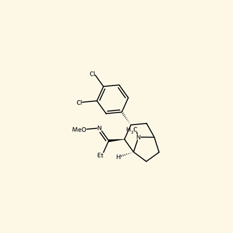 CCC(=NOC)[C@H]1[C@H](c2ccc(Cl)c(Cl)c2)CC2CC[C@@H]1N2C